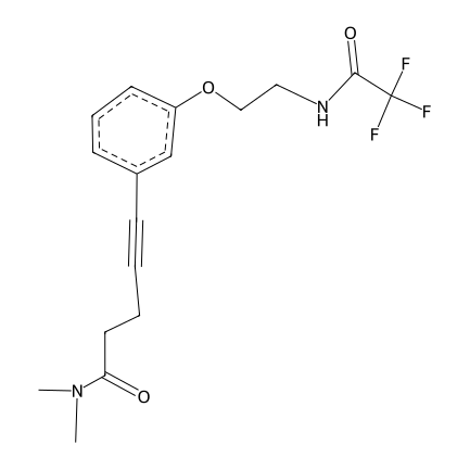 CN(C)C(=O)CCC#Cc1cccc(OCCNC(=O)C(F)(F)F)c1